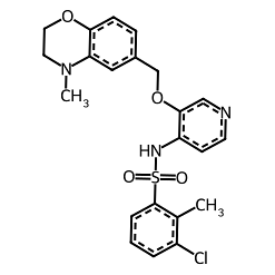 Cc1c(Cl)cccc1S(=O)(=O)Nc1ccncc1OCc1ccc2c(c1)N(C)CCO2